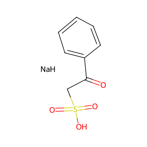 O=C(CS(=O)(=O)O)c1ccccc1.[NaH]